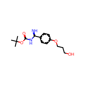 CC(C)(C)OC(=O)NC(=N)c1ccc(OCCCO)cc1